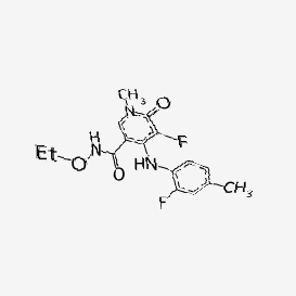 CCONC(=O)c1cn(C)c(=O)c(F)c1Nc1ccc(C)cc1F